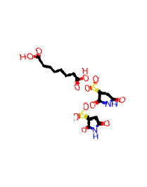 O=C(O)CCCCCCC(=O)O.O=C1CC(=S(=O)=O)C(=O)N1.O=C1CC(=S(=O)=O)C(=O)N1